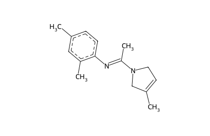 CC1=CCN(/C(C)=N/c2ccc(C)cc2C)C1